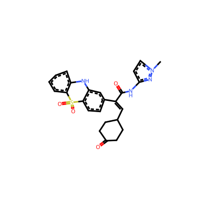 Cn1ccc(NC(=O)/C(=C/C2CCC(=O)CC2)c2ccc3c(c2)Nc2ccccc2S3(=O)=O)n1